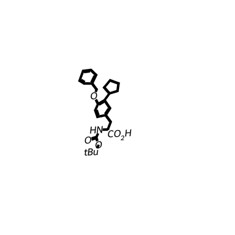 CC(C)(C)OC(=O)NC(Cc1ccc(OCc2ccccc2)c(C2CCCC2)c1)C(=O)O